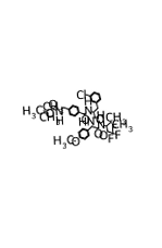 COc1ccc(C(NC(=O)C(Cc2cccc(Cl)c2)NC(=O)c2ccc(CNC(=O)OC(C)(C)C)cc2)C(=O)NC(C(=O)C(F)(F)F)C(C)C)cc1